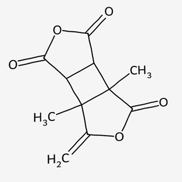 C=C1OC(=O)C2(C)C3C(=O)OC(=O)C3C12C